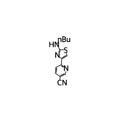 CCCCNc1nc(-c2ccc(C#N)cn2)cs1